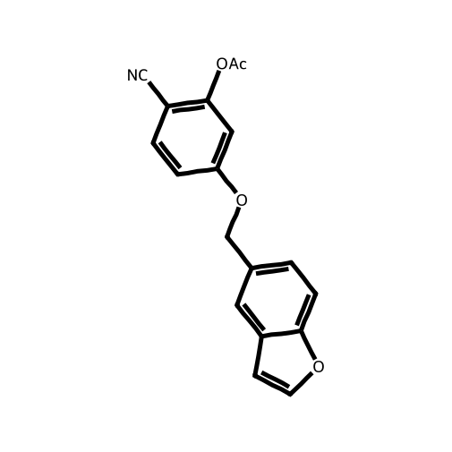 CC(=O)Oc1cc(OCc2ccc3occc3c2)ccc1C#N